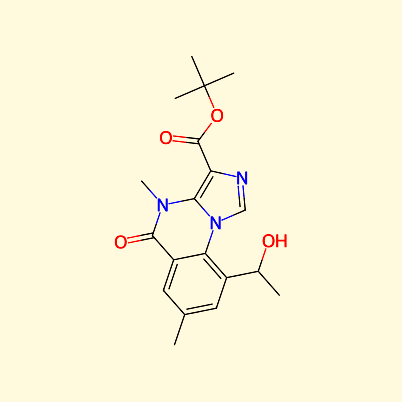 Cc1cc(C(C)O)c2c(c1)c(=O)n(C)c1c(C(=O)OC(C)(C)C)ncn21